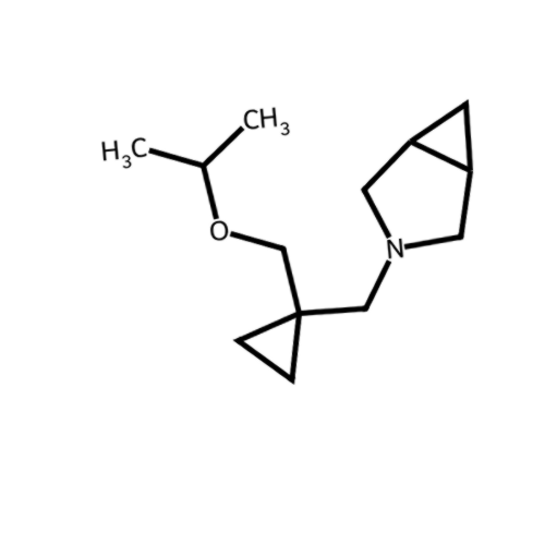 CC(C)OCC1(CN2CC3CC3C2)CC1